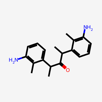 Cc1c(N)cccc1C(C)C(=O)C(C)c1cccc(N)c1C